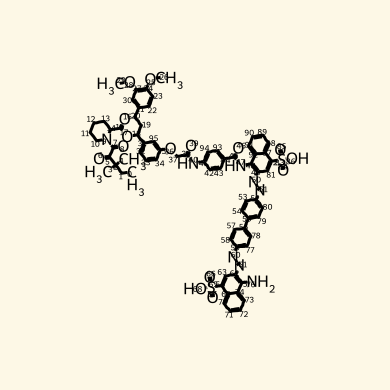 CCC(C)(C)C(=O)C(=O)N1CCCCC1C(=O)OC(CCc1ccc(OC)c(OC)c1)c1cccc(OCC(=O)Nc2ccc(C(=O)Nc3c(/N=N/c4ccc(-c5ccc(/N=N/c6cc(S(=O)(=O)O)c7ccccc7c6N)cc5)cc4)cc(S(=O)(=O)O)c4ccccc34)cc2)c1